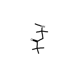 CNC(C)(C)CC(=O)C(C)(C)C